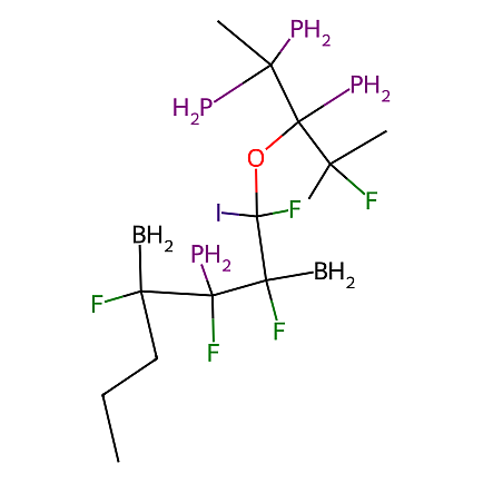 BC(F)(CCC)C(F)(P)C(B)(F)C(F)(I)OC(P)(C(C)(C)F)C(C)(P)P